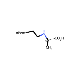 CCCCCCCN[C@@H](C)C(=O)O